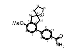 COc1ccc(-c2ccc(C(N)=O)cc2)c2c1CC1(CCCO1)C2